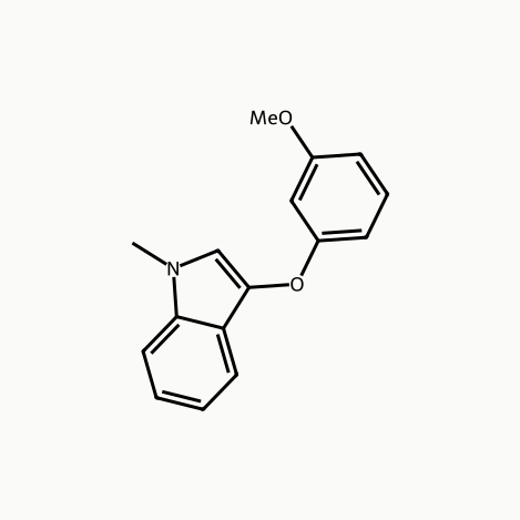 COc1cccc(Oc2cn(C)c3ccccc23)c1